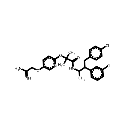 CC(NC(=O)C(C)(C)Oc1ccc(OCC(=N)N)cn1)C(Cc1ccc(Cl)cc1)c1cccc(Cl)c1